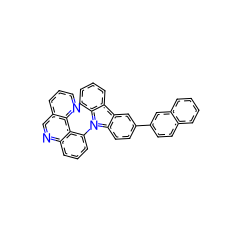 c1ccc2cc(-c3ccc4c(c3)c3ccccc3n4-c3cccc4ncc5cccnc5c34)ccc2c1